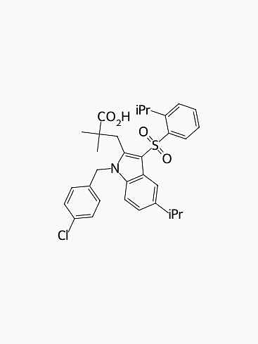 CC(C)c1ccc2c(c1)c(S(=O)(=O)c1ccccc1C(C)C)c(CC(C)(C)C(=O)O)n2Cc1ccc(Cl)cc1